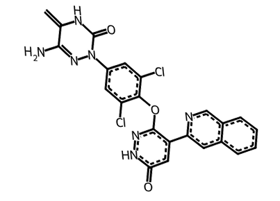 C=C1NC(=O)N(c2cc(Cl)c(Oc3n[nH]c(=O)cc3-c3cc4ccccc4cn3)c(Cl)c2)N=C1N